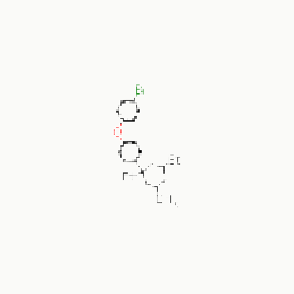 CCC1CC(C)CC(CC)(c2ccc(Oc3ccc(Br)cc3)cc2)C1